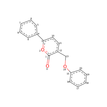 O=c1oc(-c2ccccc2)ccc1COc1ccccc1